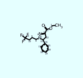 CCOC(=O)C1=NN(CCCC(F)(F)F)C(c2ccccc2)C1